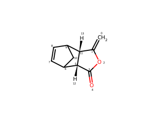 C=C1OC(=O)[C@@H]2C3C=CC(C3)[C@H]12